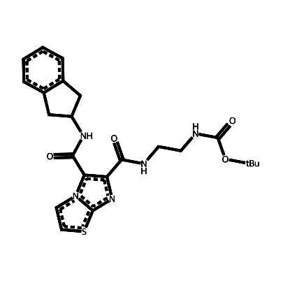 CC(C)(C)OC(=O)NCCNC(=O)c1nc2sccn2c1C(=O)NC1Cc2ccccc2C1